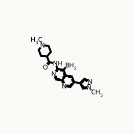 Bc1c(NC(=O)C2CCN(C)CC2)ncc2ncc(-c3cnn(C)c3)cc12